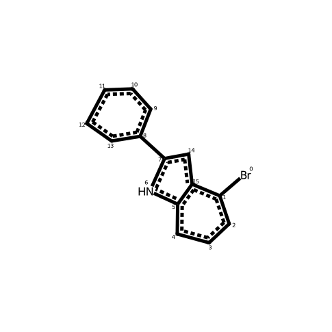 Brc1cccc2[nH]c(-c3ccccc3)cc12